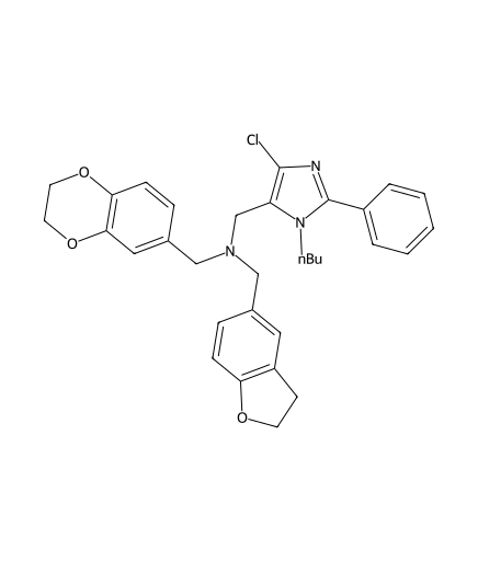 CCCCn1c(-c2ccccc2)nc(Cl)c1CN(Cc1ccc2c(c1)CCO2)Cc1ccc2c(c1)OCCO2